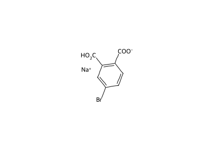 O=C([O-])c1ccc(Br)cc1C(=O)O.[Na+]